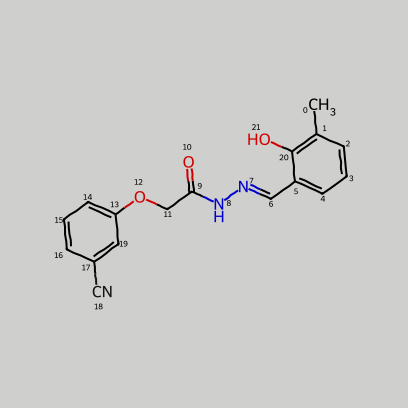 Cc1cccc(C=NNC(=O)COc2cccc(C#N)c2)c1O